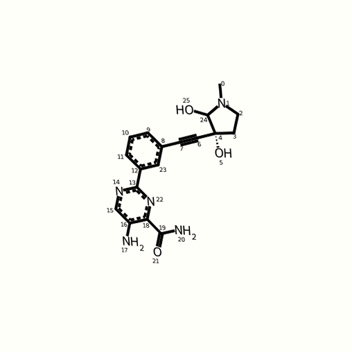 CN1CC[C@@](O)(C#Cc2cccc(-c3ncc(N)c(C(N)=O)n3)c2)C1O